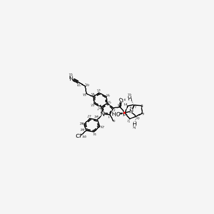 Cc1c(C(=O)CN2[C@@H]3CC[C@H]2C[C@@H](O)C3)c2ccc(CCC#N)cc2n1-c1ccc(Cl)cc1